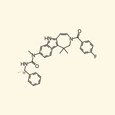 C[C@H](NC(=O)N(C)c1ccc2c3c([nH]c2c1)C=CN(C(=O)c1ccc(F)cc1)CC3(C)C)c1ccccc1